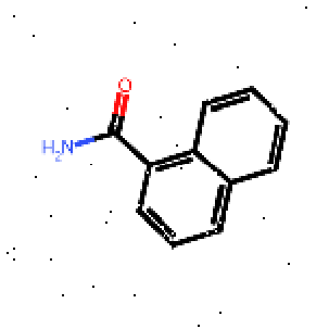 NC(=O)c1c[c]cc2ccccc12